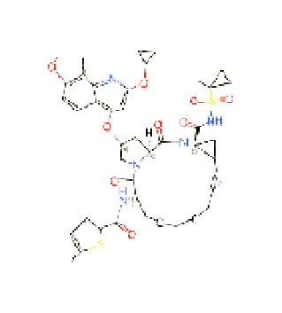 COc1ccc2c(O[C@@H]3C[C@H]4C(=O)N[C@]5(C(=O)NS(=O)(=O)C6(C)CC6)CC5/C=C\CCCCC[C@H](NC(=O)C5CC=C(C)S5)C(=O)N4C3)cc(OC3CC3)nc2c1C